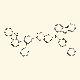 c1ccc(-c2ccc(N(c3ccc4cc(-c5ccc(-c6cccc7c6oc6ccccc67)c(-c6ccccc6)c5)ccc4c3)c3cccc4c3sc3ccccc34)cc2)cc1